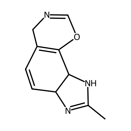 CC1=NC2C=CC3=C(OC=NC3)C2N1